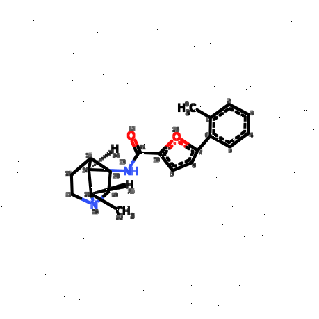 Cc1ccccc1-c1ccc(C(=O)N[C@@H]2C3CCN(CC3)[C@H]2C)o1